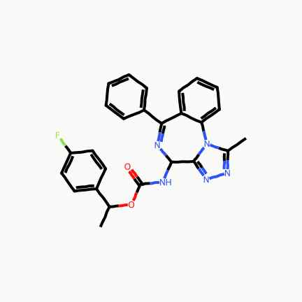 Cc1nnc2n1-c1ccccc1C(c1ccccc1)=NC2NC(=O)OC(C)c1ccc(F)cc1